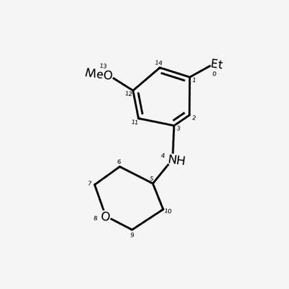 CCc1cc(NC2CCOCC2)cc(OC)c1